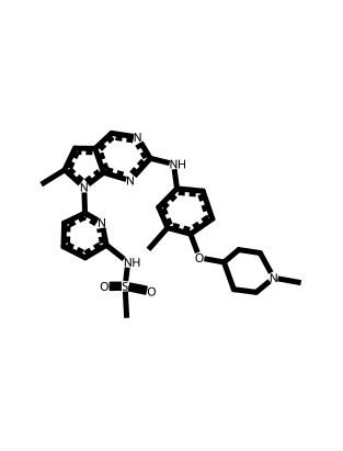 Cc1cc(Nc2ncc3cc(C)n(-c4cccc(NS(C)(=O)=O)n4)c3n2)ccc1OC1CCN(C)CC1